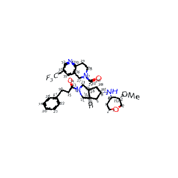 CO[C@@H]1COCC[C@@H]1N[C@@H]1C[C@H]2CN(C(=O)CCc3ccccc3)C[C@@]2(C(=O)N2CCc3ncc(C(F)(F)F)cc3C2)C1